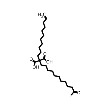 C=CCCCCCCCCCC(CCCCCCCCCCC(=O)I)(C(=O)O)C(=O)O